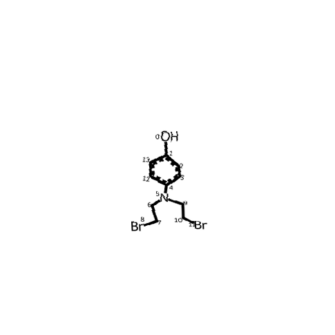 Oc1ccc(N(CCBr)CCBr)cc1